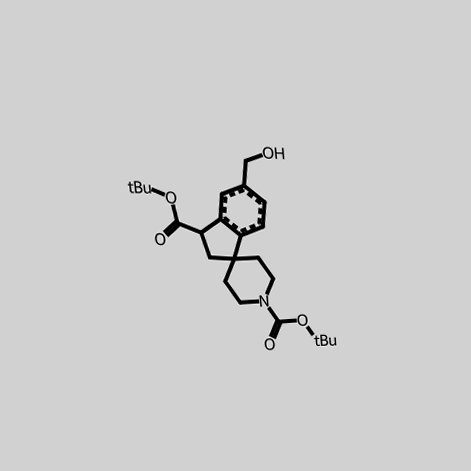 CC(C)(C)OC(=O)C1CC2(CCN(C(=O)OC(C)(C)C)CC2)c2ccc(CO)cc21